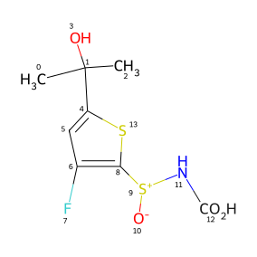 CC(C)(O)c1cc(F)c([S+]([O-])NC(=O)O)s1